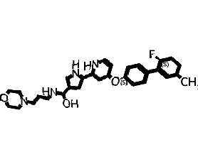 CC1C=C(C2=CC[C@@H](OC3C=CNC(C4CC(C(O)NCCCN5CCOCC5)CN4)C3)CC2)[C@@H](F)CC1